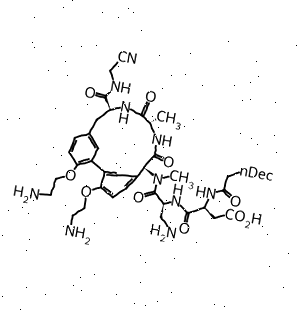 CCCCCCCCCCCC(=O)N[C@@H](CC(=O)O)C(=O)N[C@@H](CN)C(=O)N(C)[C@@H]1C(=O)N[C@@H](C)C(=O)N[C@H](C(=O)NCC#N)Cc2ccc(OCCN)c(c2)-c2cc1ccc2OCCN